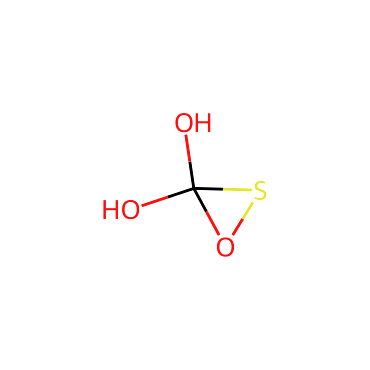 OC1(O)OS1